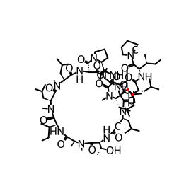 CCC(C)[C@@H]1NC(=O)[C@H](C)N(C)C(=O)[C@H]([C@@H](C)O)NC(=O)C[C@H](CC(C)C)N(C)C(=O)[C@H](CC(C)C)NC(=O)N(C)C(=O)[C@@H](C(=O)N2CCC[C@H]2C(=O)N[C@H](C(=O)N(C)[C@@H](CC(C)C)C(=O)N[C@@H](CC(C)C)C(=O)N[C@H](C(=O)N2CCCCC2)[C@@H](C)CC)[C@@H](C)CC)NC(=O)[C@H](CC(C)C)N(C)C(=O)[C@H](CC(C)C)N(C)C1=O